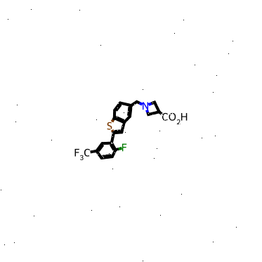 O=C(O)C1CN(Cc2ccc3sc(-c4cc(C(F)(F)F)ccc4F)cc3c2)C1